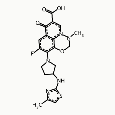 Cc1csc(NC2CCN(c3c(F)cc4c(=O)c(C(=O)O)cn5c4c3OCN5C)C2)n1